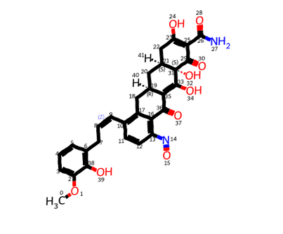 COc1cccc(C/C=C\c2ccc(N=O)c3c2C[C@H]2C[C@H]4CC(O)=C(C(N)=O)C(=O)[C@@]4(O)C(O)=C2C3=O)c1O